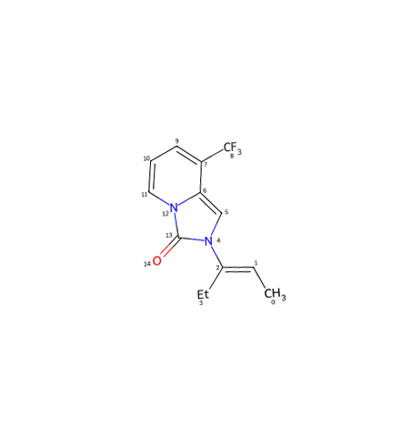 C/C=C(\CC)n1cc2c(C(F)(F)F)cccn2c1=O